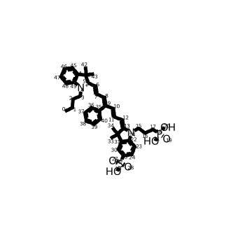 CCCC[N+]1=C(/C=C/C=C(/C=C/C=C2/N(CCCP(=O)(O)O)c3ccc(S(=O)(=O)O)cc3C2(C)C)c2ccccc2)C(C)(C)c2ccccc21